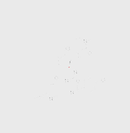 CCOc1cc(C(C)(C)C)ncc1/C(=N/C(C)(C)C1C=CC(Cl)=CC1)N(Cc1ccc(Cl)cc1)C(=O)N1CCC(CC(=O)N(CC)C(C)C)CC1